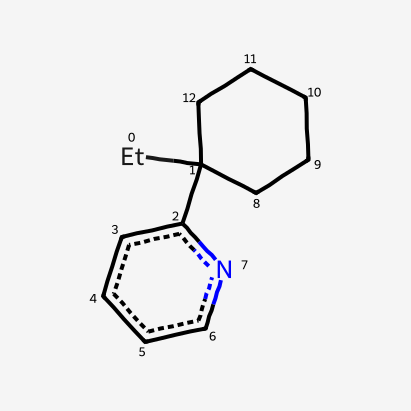 CCC1(c2ccccn2)CCCCC1